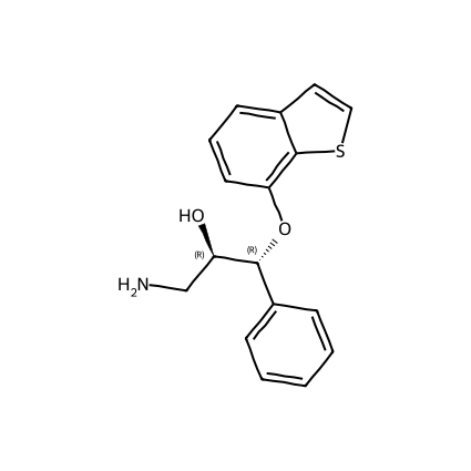 NC[C@@H](O)[C@H](Oc1cccc2ccsc12)c1ccccc1